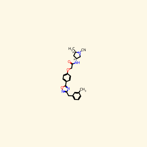 Cc1cccc(Cc2noc(-c3ccc(OCC(=O)N[C@@H]4C[C@@H](C)N(C#N)C4)cc3)n2)c1